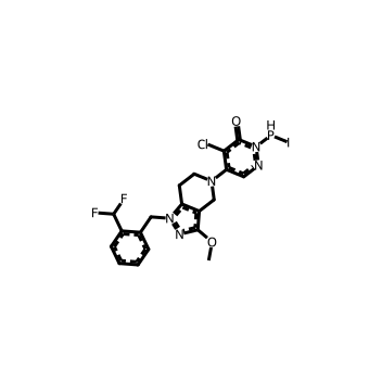 COc1nn(Cc2ccccc2C(F)F)c2c1CN(c1cnn(PI)c(=O)c1Cl)CC2